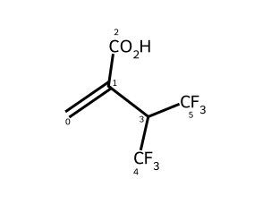 C=C(C(=O)O)C(C(F)(F)F)C(F)(F)F